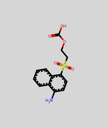 Nc1ccc(S(=O)(=O)CCOC(=O)O)c2ccccc12